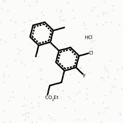 CCOC(=O)CCc1cc(-c2c(C)cccc2C)cc(Cl)c1F.Cl